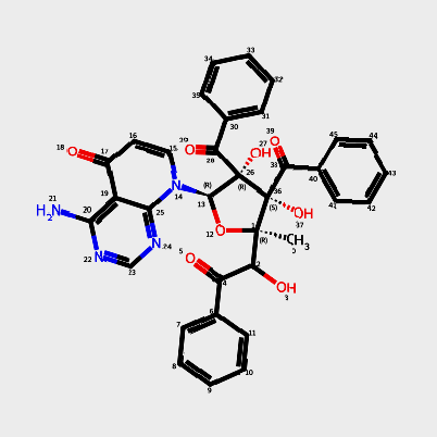 C[C@]1(C(O)C(=O)c2ccccc2)O[C@@H](n2ccc(=O)c3c(N)ncnc32)[C@@](O)(C(=O)c2ccccc2)[C@@]1(O)C(=O)c1ccccc1